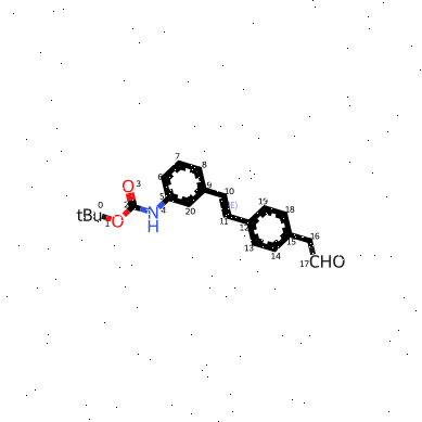 CC(C)(C)OC(=O)Nc1cccc(/C=C/c2ccc(CC=O)cc2)c1